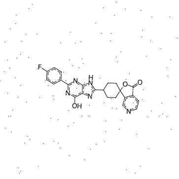 O=C1OC2(CCC(c3nc4c(O)nc(-c5ccc(F)cc5)nc4[nH]3)CC2)c2cnccc21